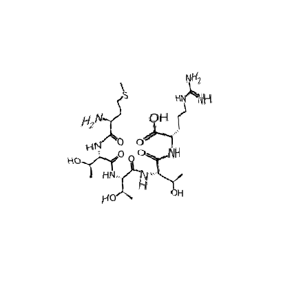 CSCC[C@H](N)C(=O)N[C@H](C(=O)N[C@H](C(=O)N[C@H](C(=O)N[C@@H](CCCNC(=N)N)C(=O)O)[C@@H](C)O)[C@@H](C)O)[C@@H](C)O